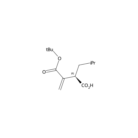 C=C(C(=O)OC(C)(C)C)[C@@H](CC(C)C)C(=O)O